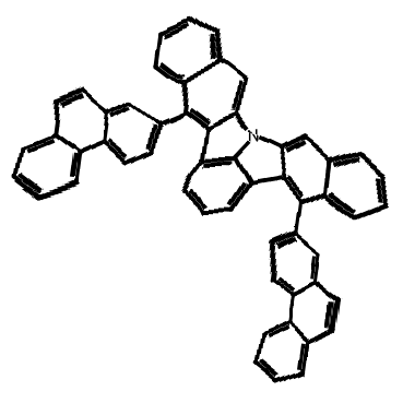 c1ccc2c(-c3ccc4c(ccc5ccccc54)c3)c3c4cccc5c6c(-c7ccc8c(ccc9ccccc98)c7)c7ccccc7cc6n(c3cc2c1)c45